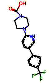 O=C(O)N1CCN(c2ccc(-c3ccc(C(F)(F)F)cc3)cn2)CC1